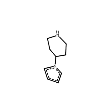 c1ccn(C2CCNCC2)c1